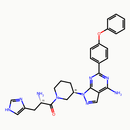 Nc1nc(-c2ccc(Oc3ccccc3)cc2)nc2c1cnn2[C@@H]1CCCN(C(=O)[C@@H](N)Cc2c[nH]cn2)C1